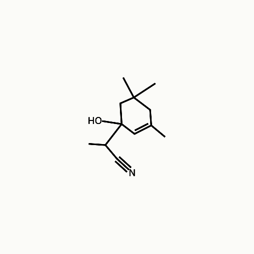 CC1=CC(O)(C(C)C#N)CC(C)(C)C1